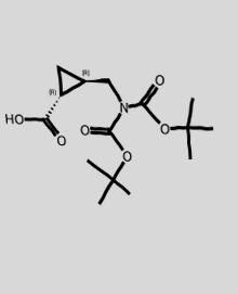 CC(C)(C)OC(=O)N(C[C@@H]1C[C@H]1C(=O)O)C(=O)OC(C)(C)C